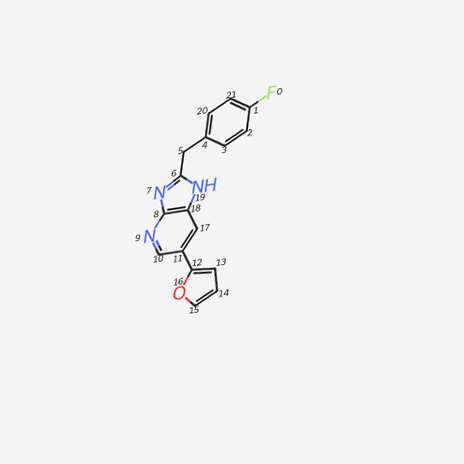 Fc1ccc(Cc2nc3ncc(-c4ccco4)cc3[nH]2)cc1